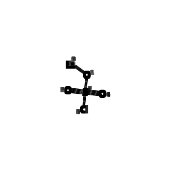 CCOS(=O)(=O)Cl